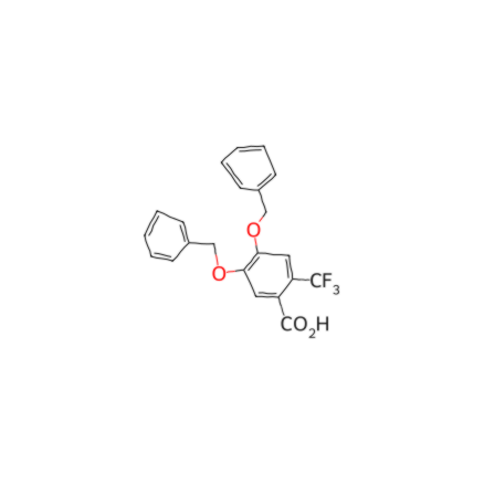 O=C(O)c1cc(OCc2ccccc2)c(OCc2ccccc2)cc1C(F)(F)F